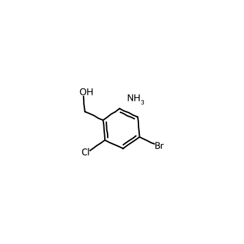 N.OCc1ccc(Br)cc1Cl